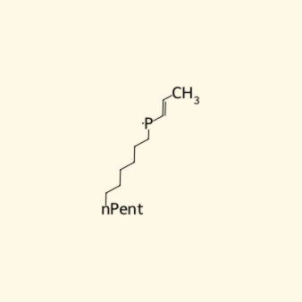 CC=C[P]CCCCCCCCCCC